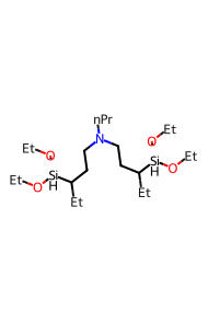 CCCN(CCC(CC)[SiH](OCC)OCC)CCC(CC)[SiH](OCC)OCC